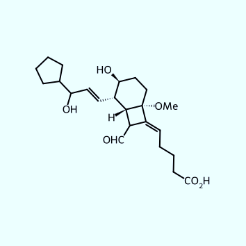 CO[C@@]12CC[C@H](O)[C@@H](/C=C/C(O)C3CCCC3)[C@H]1C(C=O)C2=CCCCC(=O)O